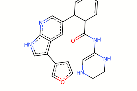 O=C(NC1=CNCCN1)C1C=CC=CC1c1cnc2[nH]cc(-c3ccoc3)c2c1